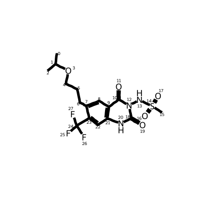 CC(C)OCCCc1cc2c(=O)n(NS(C)(=O)=O)c(=O)[nH]c2cc1C(F)(F)F